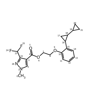 Cn1cc(C(=O)OCCOc2ccccc2C2CC2C2CC2)c(C(F)F)n1